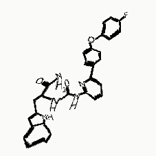 NC(=O)C(Cc1cc2ccccc2[nH]1)NC(=O)Nc1cccc(-c2ccc(Oc3ccc(F)cc3)cc2)n1